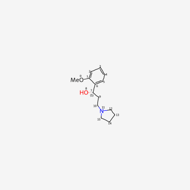 COc1ccccc1[C@@H](O)CCN1CCCC1